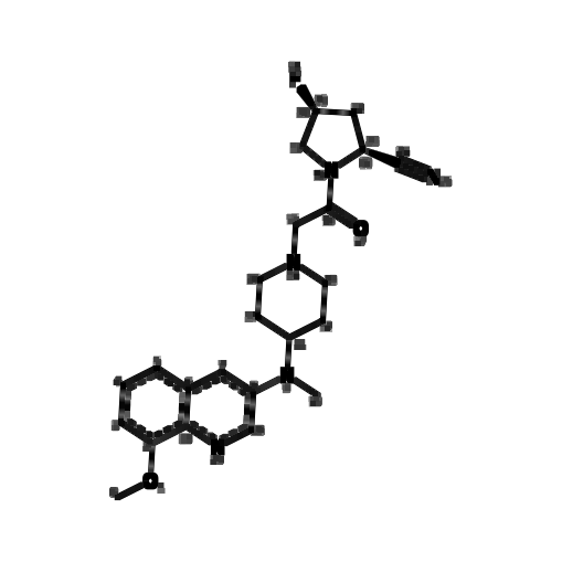 COc1cccc2cc(N(C)C3CCN(CC(=O)N4C[C@@H](F)C[C@H]4C#N)CC3)cnc12